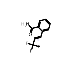 NC(=O)c1ccccc1/C=C/C(F)(F)F